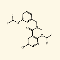 CN(Cc1cccc(OC(F)F)c1)C(=O)c1cc(Cl)cnc1OC(F)F